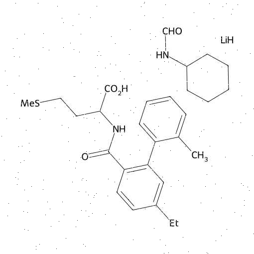 CCc1ccc(C(=O)NC(CCSC)C(=O)O)c(-c2ccccc2C)c1.O=CNC1CCCCC1.[LiH]